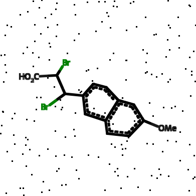 COc1ccc2cc(C(Br)C(Br)C(=O)O)ccc2c1